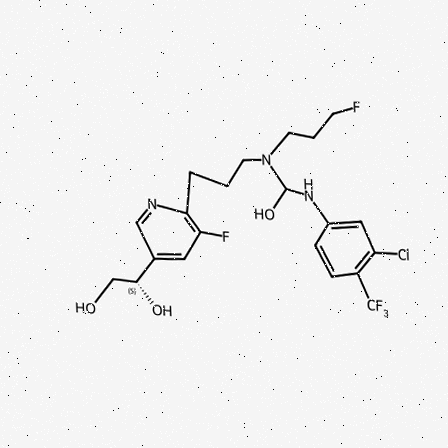 OC[C@@H](O)c1cnc(CCCN(CCCF)C(O)Nc2ccc(C(F)(F)F)c(Cl)c2)c(F)c1